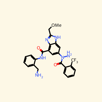 COCc1nc2c(C(=O)Nc3ccccc3CN)cc(N(N)C(=O)c3ccccc3C(F)(F)F)cc2[nH]1